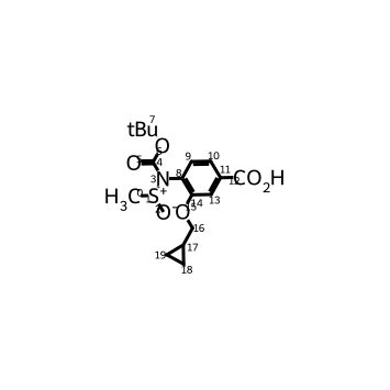 C[S+]([O-])N(C(=O)OC(C)(C)C)c1ccc(C(=O)O)cc1OCC1CC1